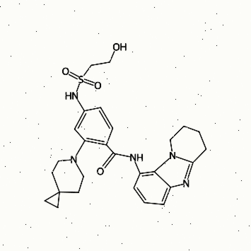 O=C(Nc1cccc2nc3n(c12)CCCC3)c1ccc(NS(=O)(=O)CCO)cc1N1CCC2(CC1)CC2